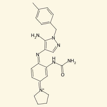 Cc1ccc(Cn2ncc(/N=C3/C=CC(=[N+]4CCCC4)C=C3NC(N)=O)c2N)cc1